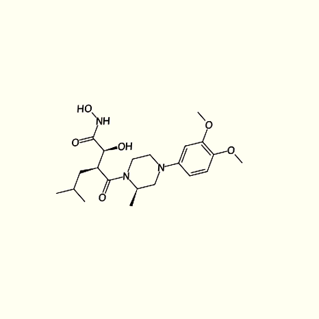 COc1ccc(N2CCN(C(=O)[C@@H](CC(C)C)[C@H](O)C(=O)NO)[C@H](C)C2)cc1OC